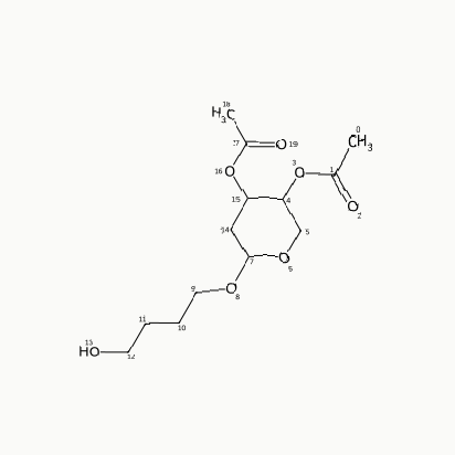 CC(=O)OC1COC(OCCCCO)CC1OC(C)=O